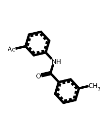 CC(=O)c1cccc(NC(=O)c2cccc(C)c2)c1